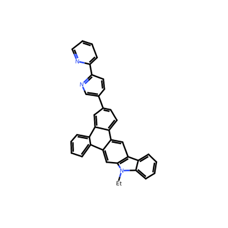 CCn1c2ccccc2c2cc3c4ccc(-c5ccc(-c6ccccn6)nc5)cc4c4ccccc4c3cc21